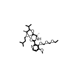 CCOCOCOc1c(OC)ccnc1C(=O)N[C@@H](C)C(=O)O[C@H](C(C)C)[C@H](C)OCCC(C)C